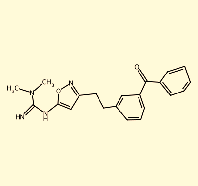 CN(C)C(=N)Nc1cc(CCc2cccc(C(=O)c3ccccc3)c2)no1